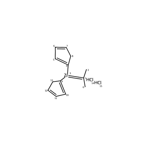 C[C](C)=[Zr]([C]1=CC=CC1)[C]1=CC=CC1.Cl.Cl